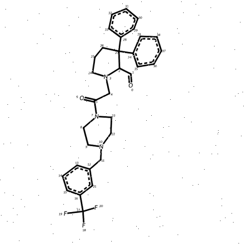 O=CC1N(CC(=O)N2CCN(Cc3cccc(C(F)(F)F)c3)CC2)CCCC1(c1ccccc1)c1ccccc1